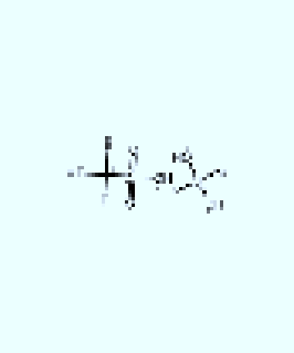 C[Si](C)(O)O.O=S(=O)(O)C(F)(F)F